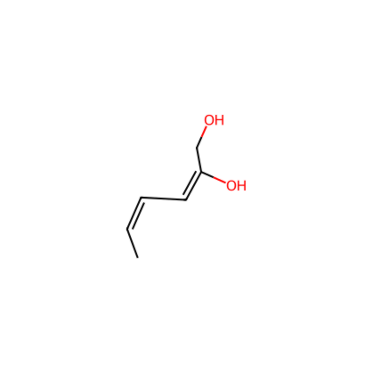 C/C=C\C=C(\O)CO